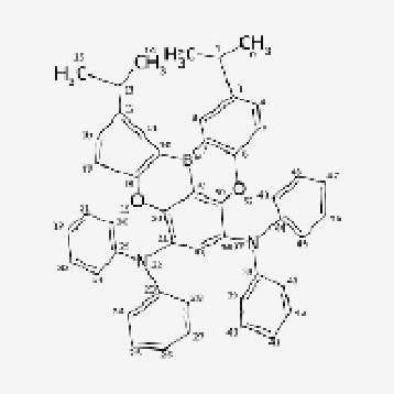 CC(C)c1ccc2c(c1)B1c3cc(C(C)C)ccc3Oc3c(N(c4ccccc4)c4ccccc4)cc(N(c4ccccc4)c4ccccc4)c(c31)O2